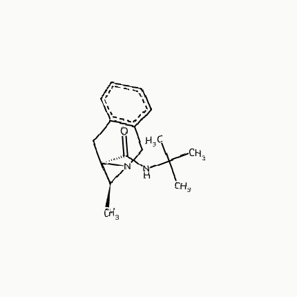 C[C@@H]1N2Cc3ccccc3C[C@]12C(=O)NC(C)(C)C